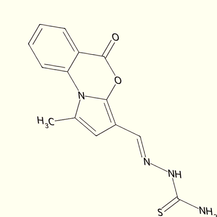 Cc1cc(/C=N/NC(N)=S)c2oc(=O)c3ccccc3n12